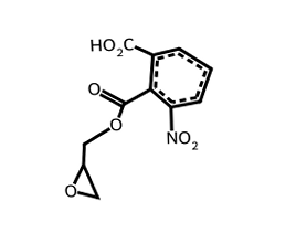 O=C(O)c1cccc([N+](=O)[O-])c1C(=O)OCC1CO1